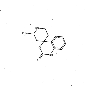 O=C1Nc2ccccc2C2(CCNC([N+](=O)[O-])C2)O1